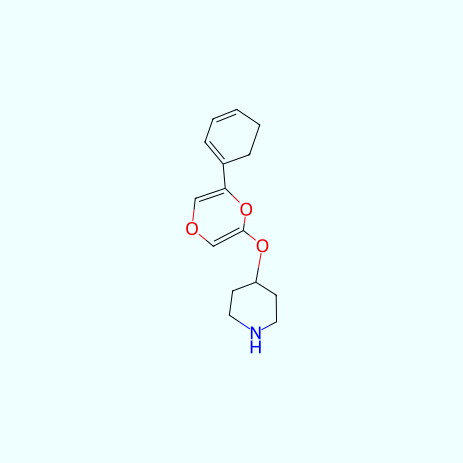 C1=CCCC(C2=COC=C(OC3CCNCC3)O2)=C1